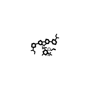 C=CCOc1c([Si](C)(C)C)cc(C)cc1[Si](C)(C)C1c2cc(-c3cccc(C(C)CC)c3)ccc2-c2ccc(-c3cccc(C(C)CC)c3)cc21